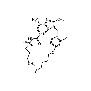 CCCCCOc1ccc(Cn2c(C)nc3c(C)cc(C(=O)NS(=O)(=O)CCCC)nc32)c(Cl)c1